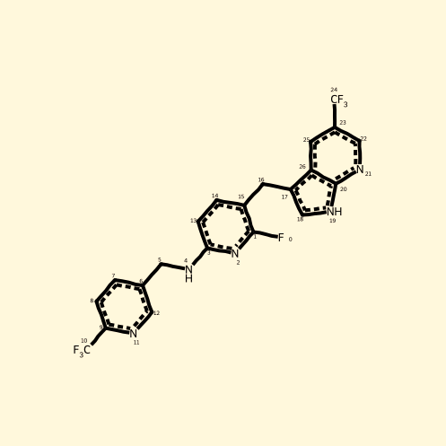 Fc1nc(NCc2ccc(C(F)(F)F)nc2)ccc1Cc1c[nH]c2ncc(C(F)(F)F)cc12